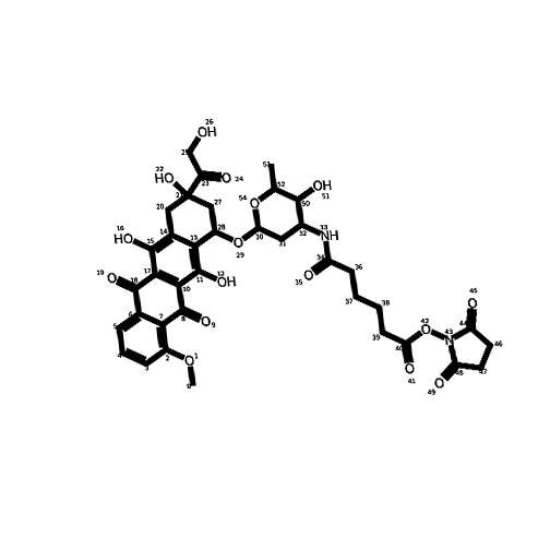 COc1cccc2c1C(=O)c1c(O)c3c(c(O)c1C2=O)CC(O)(C(=O)CO)CC3OC1CC(NC(=O)CCCCC(=O)ON2C(=O)CCC2=O)C(O)C(C)O1